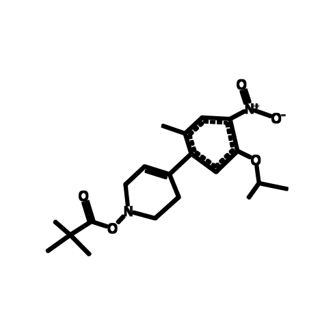 Cc1cc([N+](=O)[O-])c(OC(C)C)cc1C1=CCN(OC(=O)C(C)(C)C)CC1